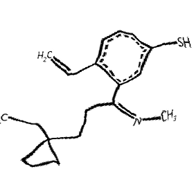 C=Cc1ccc(S)cc1/C(CCC1(CC)CC1)=N\C